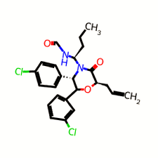 C=CC[C@H]1OC(c2cccc(Cl)c2)[C@H](c2ccc(Cl)cc2)N([C@H](CCC)NC=O)C1=O